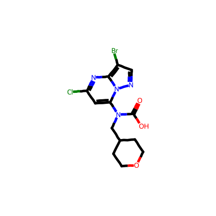 O=C(O)N(CC1CCOCC1)c1cc(Cl)nc2c(Br)cnn12